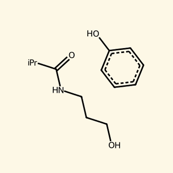 CC(C)C(=O)NCCCO.Oc1ccccc1